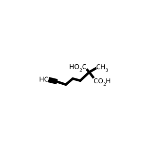 C#CCCCC(C)(C(=O)O)C(=O)O